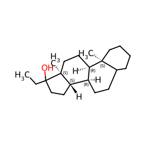 CCC1(O)CC[C@H]2[C@@H]3CCC4CCCC[C@]4(C)[C@@H]3CC[C@@]21C